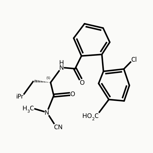 CC(C)C[C@H](NC(=O)c1ccccc1-c1cc(C(=O)O)ccc1Cl)C(=O)N(C)C#N